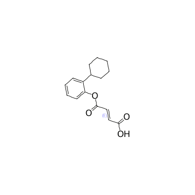 O=C(O)/C=C/C(=O)Oc1ccccc1C1CCCCC1